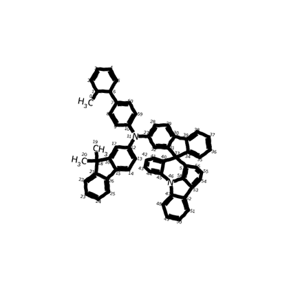 CC1C=CC=CC1c1ccc(N(c2ccc3c(c2)C(C)(C)c2ccccc2-3)c2ccc3c(c2)C2(c4ccccc4-3)c3ccccc3-n3c4ccccc4c4cccc2c43)cc1